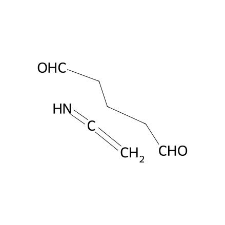 C=C=N.O=CCCCC=O